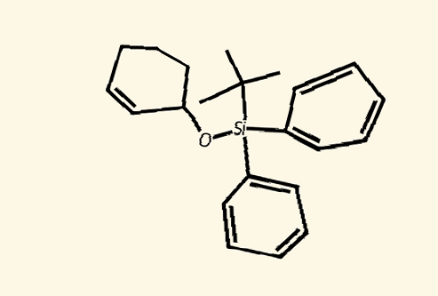 CC(C)(C)[Si](OC1C=CCCC1)(c1ccccc1)c1ccccc1